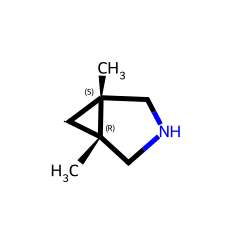 C[C@@]12[CH][C@]1(C)CNC2